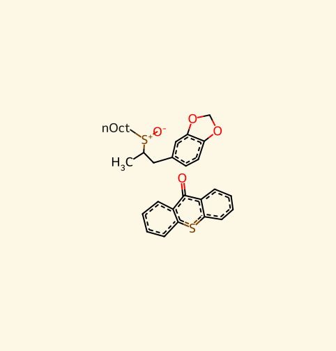 CCCCCCCC[S+]([O-])C(C)Cc1ccc2c(c1)OCO2.O=c1c2ccccc2sc2ccccc12